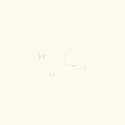 O=[P](O)(O)[Cu]